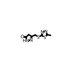 Cc1nnc(SCC2=NNC(=O)C2)s1